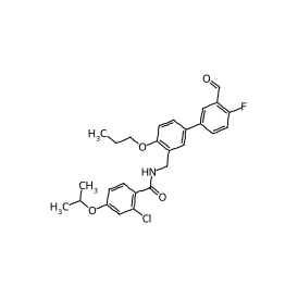 CCCOc1ccc(-c2ccc(F)c(C=O)c2)cc1CNC(=O)c1ccc(OC(C)C)cc1Cl